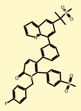 CC(C)(c1cc(-c2cccc(-c3ccc(=O)n(Cc4ccc(F)cc4)c3-c3ccc(S(C)(=O)=O)cc3)c2)c2ncccc2c1)S(C)(=O)=O